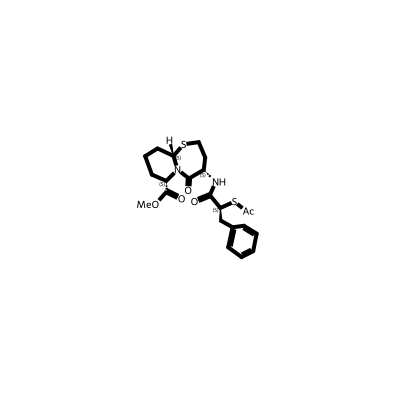 COC(=O)[C@@H]1CCC[C@@H]2SCC[C@H](NC(=O)[C@H](Cc3ccccc3)SC(C)=O)C(=O)N21